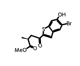 COC(=O)[C@@H](C)CC(=O)c1cc2cc(Br)c(O)cc2s1